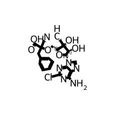 C#C[C@@]1(O)[C@@H](COC(C#N)(Cc2ccccc2)C(=O)O)O[C@@H](n2cnc3c(N)nc(Cl)nc32)[C@@H]1O